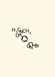 CN(C)C(=O)c1ccc([C@@H]2CC(Br)=NO2)cc1